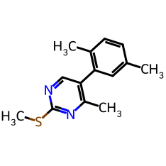 CSc1ncc(-c2cc(C)ccc2C)c(C)n1